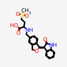 CS(=O)(=O)CCC(NCc1ccc2c(c1)COC2=C1C(=O)Nc2ccccc21)C(=O)O